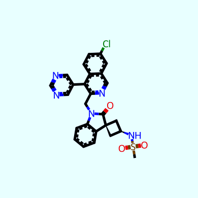 CS(=O)(=O)N[C@H]1C[C@]2(C1)C(=O)N(Cc1ncc3cc(Cl)ccc3c1-c1cncnc1)c1ccccc12